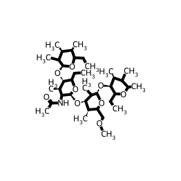 CCC1OC(C)C(C)[C@@H](C)[C@@H]1O[C@@H]1OC(COC)[C@H](C)[C@H](O[C@@H]2OC(CC)[C@@H](O[C@@H]3OC(CC)[C@H](C)[C@H](C)C3C)[C@H](C)C2NC(C)=O)C1C